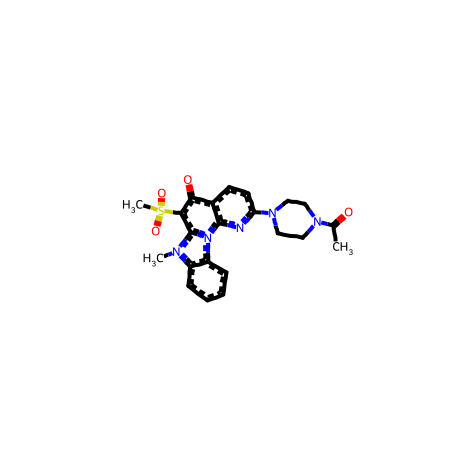 CC(=O)N1CCN(c2ccc3c(=O)c(S(C)(=O)=O)c4n(C)c5ccccc5n4c3n2)CC1